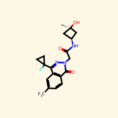 C[C@]1(O)C[C@@H](NC(=O)Cn2nc(C3(F)CC3)c3cc(C(F)(F)F)ccc3c2=O)C1